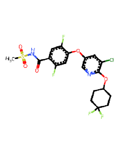 CS(=O)(=O)NC(=O)c1cc(F)c(Oc2cnc(OC3CCC(F)(F)CC3)c(Cl)c2)cc1F